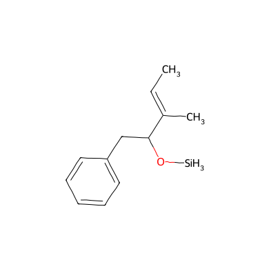 CC=C(C)C(Cc1ccccc1)O[SiH3]